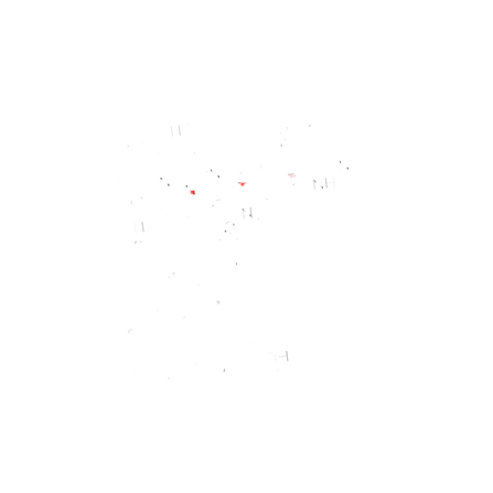 CN1CCC[C@H]1COc1nc(N2[C@@H]3CC[C@H]2CN(C(=O)CCC(N)=O)C3)c2ccc(-c3cc(O)cc4ccccc34)cc2n1